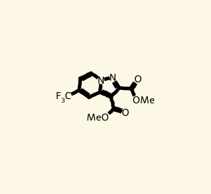 COC(=O)c1nn2ccc(C(F)(F)F)cc2c1C(=O)OC